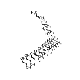 C=C.C=C.C=C.C=C.C=C.C=C.C=C.C=CC.C=CC.C=CC.C=CC.C=CC.C=CC.OCCO.OCCO